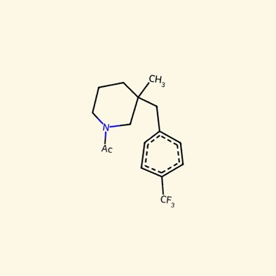 CC(=O)N1CCCC(C)(Cc2ccc(C(F)(F)F)cc2)C1